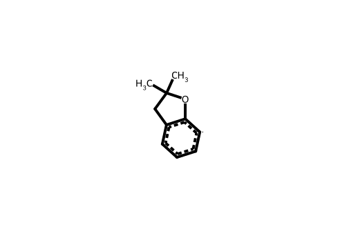 CC1(C)Cc2ccc[c]c2O1